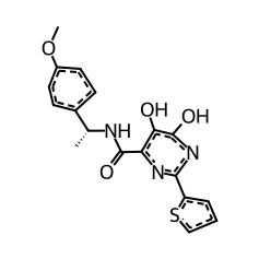 COc1ccc([C@@H](C)NC(=O)c2nc(-c3cccs3)nc(O)c2O)cc1